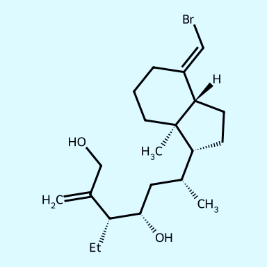 C=C(CO)[C@@H](CC)[C@@H](O)C[C@@H](C)[C@H]1CC[C@H]2/C(=C/Br)CCC[C@]12C